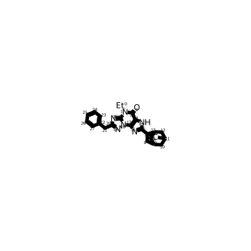 CCn1c(=O)c2[nH]c(C34CC5CC(CC3C5)C4)nc2n2nc(Cc3ccccc3)nc12